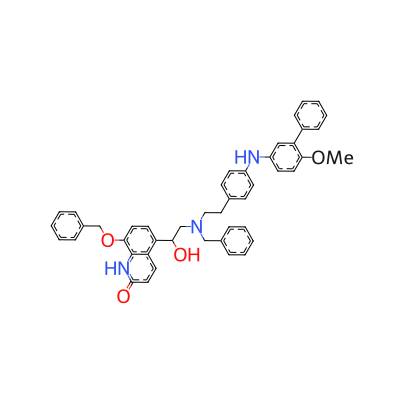 COc1ccc(Nc2ccc(CCN(Cc3ccccc3)CC(O)c3ccc(OCc4ccccc4)c4[nH]c(=O)ccc34)cc2)cc1-c1ccccc1